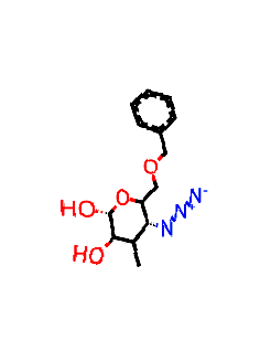 CC1C(O)[C@H](O)OC(COCc2ccccc2)[C@@H]1N=[N+]=[N-]